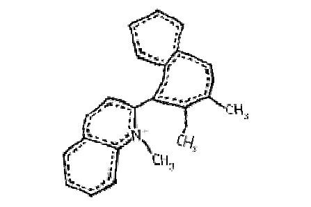 Cc1cc2ccccc2c(-c2ccc3ccccc3[n+]2C)c1C